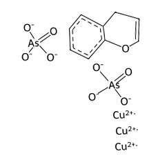 C1=COc2ccccc2C1.O=[As]([O-])([O-])[O-].O=[As]([O-])([O-])[O-].[Cu+2].[Cu+2].[Cu+2]